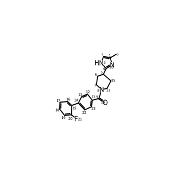 Cc1c[nH]c(C2CCN(C(=O)c3ccc(-c4ccccc4F)cc3)CC2)n1